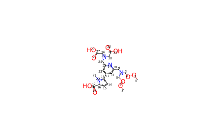 COOCN(COOC)Cc1cc(-c2ccc(C(=O)O)n2C)cc(CN(CC(=O)O)CC(=O)O)n1